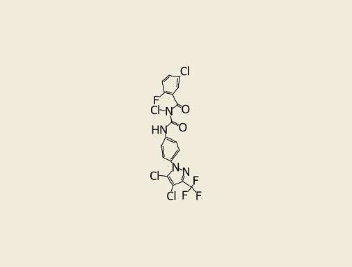 O=C(Nc1ccc(-n2nc(C(F)(F)F)c(Cl)c2Cl)cc1)N(Cl)C(=O)c1cc(Cl)ccc1F